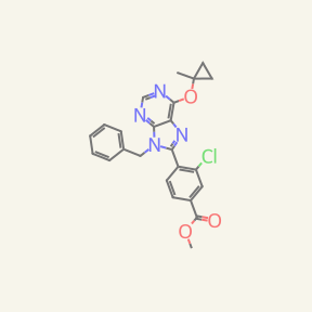 COC(=O)c1ccc(-c2nc3c(OC4(C)CC4)ncnc3n2Cc2ccccc2)c(Cl)c1